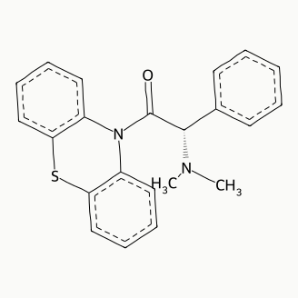 CN(C)[C@H](C(=O)N1c2ccccc2Sc2ccccc21)c1ccccc1